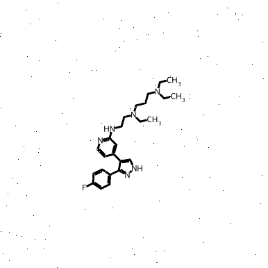 CCN(CC)CCCN(CC)CCNc1cc(-c2c[nH]nc2-c2ccc(F)cc2)ccn1